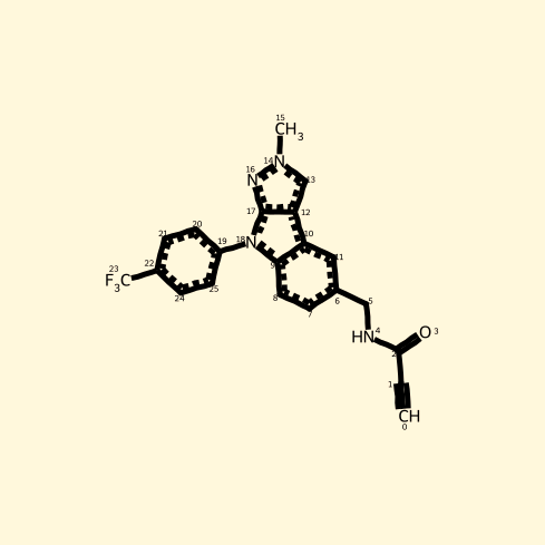 C#CC(=O)NCc1ccc2c(c1)c1cn(C)nc1n2-c1ccc(C(F)(F)F)cc1